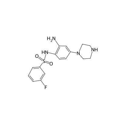 Nc1cc(N2CCNCC2)ccc1NS(=O)(=O)c1cccc(F)c1